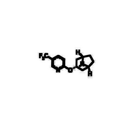 CN1[C@@H]2CC[C@H]1C[C@@H](Oc1ccc(C(F)(F)F)cn1)C2